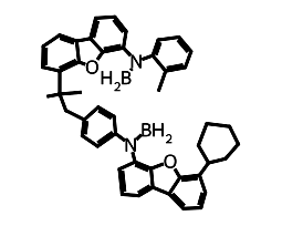 BN(c1ccc(CC(C)(C)c2cccc3c2oc2c(N(B)c4ccccc4C)cccc23)cc1)c1cccc2c1oc1c(C3CCCCC3)cccc12